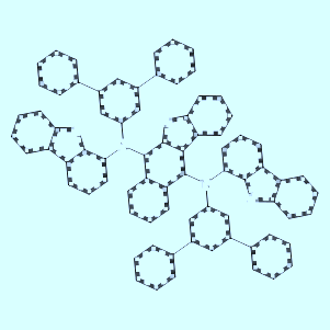 c1ccc(-c2cc(-c3ccccc3)cc(N(c3cccc4c3oc3ccccc34)c3c4ccccc4c(N(c4cc(-c5ccccc5)cc(-c5ccccc5)c4)c4cccc5c4oc4ccccc45)c4c3oc3ccccc34)c2)cc1